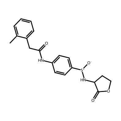 Cc1ccccc1CC(=O)Nc1ccc([S+]([O-])NC2CCOC2=O)cc1